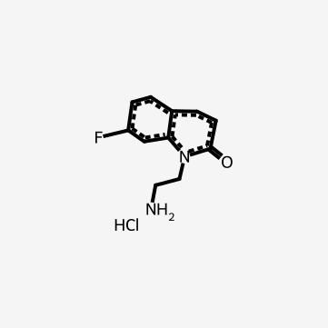 Cl.NCCn1c(=O)ccc2ccc(F)cc21